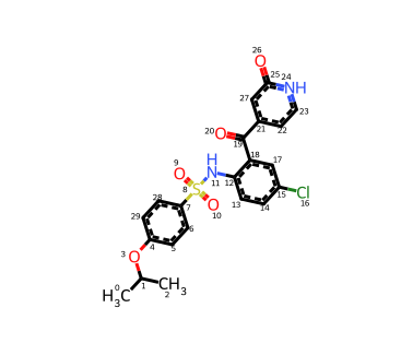 CC(C)Oc1ccc(S(=O)(=O)Nc2ccc(Cl)cc2C(=O)c2cc[nH]c(=O)c2)cc1